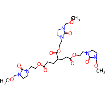 COCN1CCN(CCOC(=O)CCC(CCC(=O)OCCN2CCN(COC)C2=O)C(=O)OCCN2CCN(COC)C2=O)C1=O